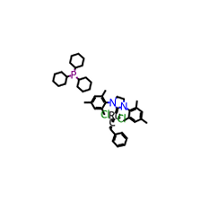 C1CCC(P(C2CCCCC2)C2CCCCC2)CC1.Cc1cc(C)c(N2CCN(c3c(C)cc(C)cc3C)[C]2=[Ru]([Cl])([Cl])=[C]=Cc2ccccc2)c(C)c1